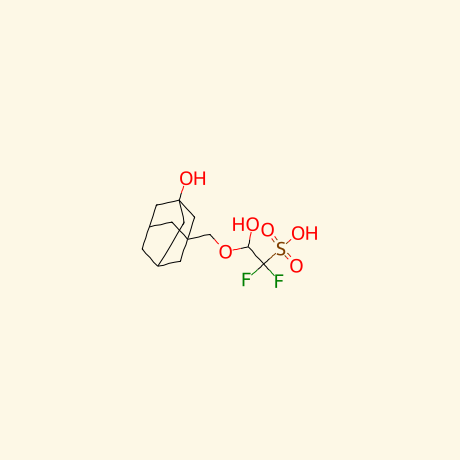 O=S(=O)(O)C(F)(F)C(O)OCC12CC3CC(CC(O)(C3)C1)C2